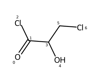 O=C(Cl)C(O)CCl